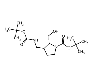 CC(C)(C)OC(=O)NC[C@@H]1CCN(C(=O)OC(C)(C)C)[C@H]1CO